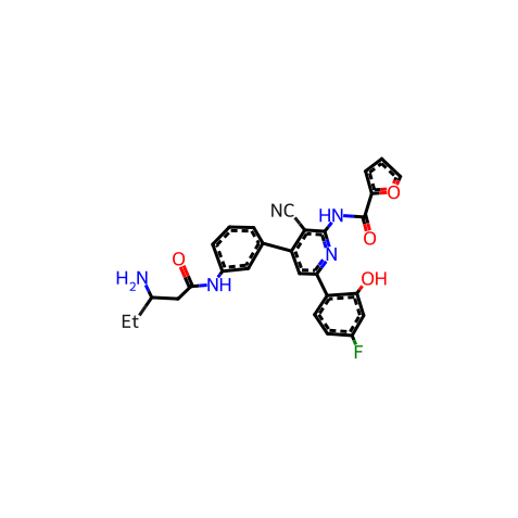 CCC(N)CC(=O)Nc1cccc(-c2cc(-c3ccc(F)cc3O)nc(NC(=O)c3ccco3)c2C#N)c1